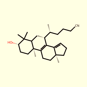 C[C@H](CCCC#N)[C@H]1CC2C(C)(C)[C@@H](O)CC[C@]2(C)C2=C1C1=CCC[C@@]1(C)CC2